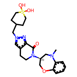 CN1C[C@H](N2CCc3cn(CC4CCS(O)(O)CC4)nc3C2=O)COc2ccccc21